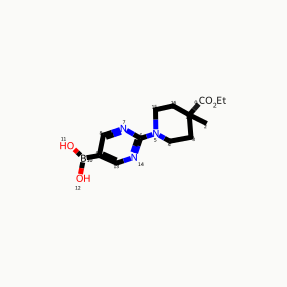 CCOC(=O)C1(C)CCN(c2ncc(B(O)O)cn2)CC1